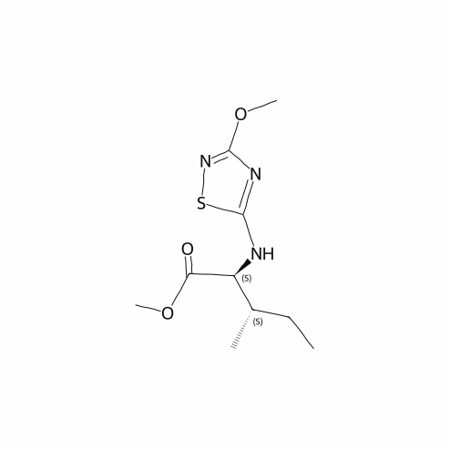 CC[C@H](C)[C@H](Nc1nc(OC)ns1)C(=O)OC